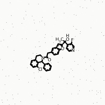 CC(O)(c1cc2cc(CC(=O)N3CCc4cccc(Cl)c4C3c3ccccc3)ccc2o1)c1ccncc1F